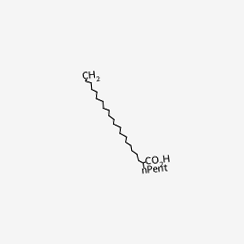 C=CCCCCCCCCCCCCCCCCCCC(CCCCC)C(=O)O